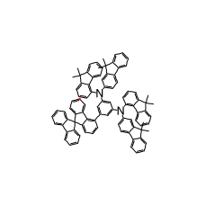 CC1(C)c2ccccc2-c2ccc(N(c3cc(-c4cccc5c4-c4ccccc4C54c5ccccc5-c5ccccc54)cc(N(c4ccc5c(c4)C(C)(C)c4ccccc4-5)c4cccc5c4-c4ccccc4C5(C)C)c3)c3cccc4c3-c3ccccc3C4(C)C)cc21